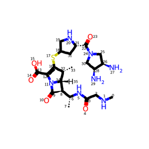 CNCC(=O)N[C@H](C)[C@H]1C(=O)N2C(C(=O)O)=C(SC3CN[C@H](C(=O)N4C[C@@H](N)[C@@H](N)C4)C3)[C@H](C)[C@H]12